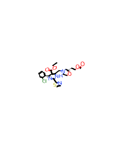 CCOC(=O)C1=C(CN2CCO[C@@H](CCOC=O)C2)NC(c2nccs2)=N[C@H]1c1ccccc1Cl